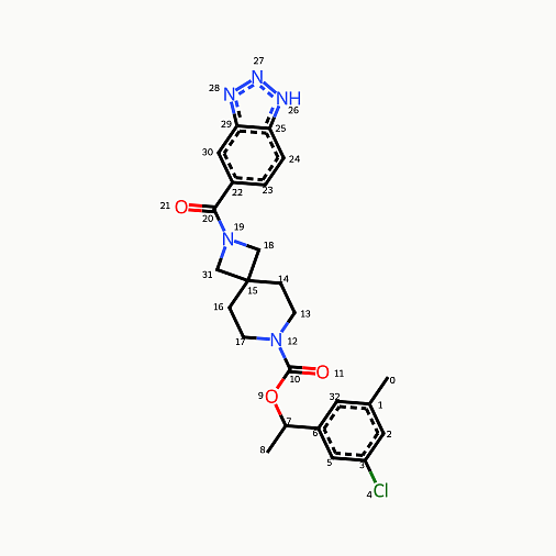 Cc1cc(Cl)cc(C(C)OC(=O)N2CCC3(CC2)CN(C(=O)c2ccc4[nH]nnc4c2)C3)c1